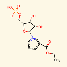 CCOC(=O)c1ccc[n+]([C@@H]2O[C@H](COP(=O)([O-])O)[C@H](O)[C@@H]2O)c1